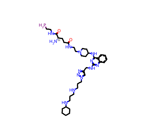 N[C@@H](CCC(=O)NCCN1CCC(Nc2nc(NCc3cn(CCCNCCCNC4CCCCC4)nn3)nc3ccccc23)CC1)C(=O)NCCP